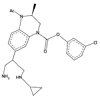 CC(=O)N1c2ccc(C(CN)CNC3CC3)cc2N(C(=O)Oc2cccc(Cl)c2)C[C@@H]1C